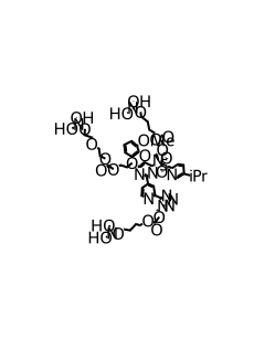 COc1ccccc1Oc1c(OCCOC(=O)OCCOCCON(O)O)nc(-c2ccnc(-c3nnnn3COC(=O)OCCCCON(O)O)c2)nc1N(COC(=O)OCCCCON(O)O)S(=O)(=O)c1ccc(C(C)C)cn1